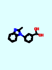 Cc1nc2ccccc2n1-c1cccc(B(O)O)c1